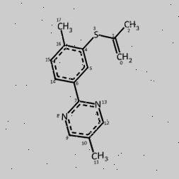 C=C(C)Sc1cc(-c2ncc(C)cn2)ccc1C